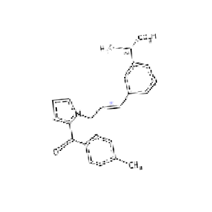 Cc1ccc(C(=O)c2cccn2C/C=C/c2cccc([C@H](C)C(=O)O)c2)cc1